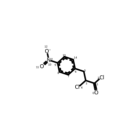 O=C(Cl)C(Cl)Cc1ccc([N+](=O)[O-])cc1